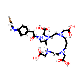 O=C(O)CN1CCCN(CC(=O)O)CCN(CC(=O)O)C(CNC(=O)Cc2ccc(N=C=S)cc2)CN(CC(=O)O)CC1